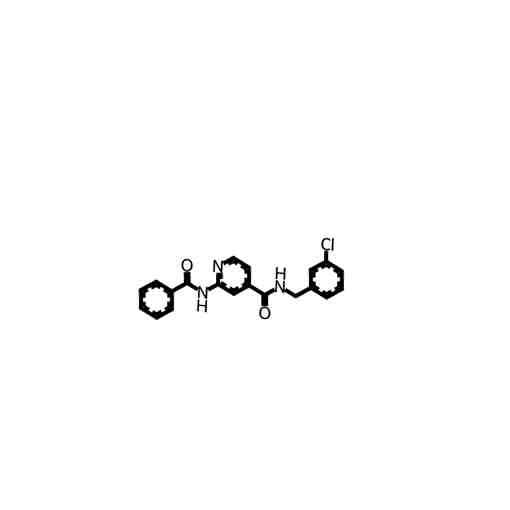 O=C(NCc1cccc(Cl)c1)c1ccnc(NC(=O)c2ccccc2)c1